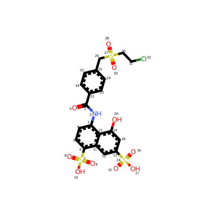 O=C(Nc1ccc(S(=O)(=O)O)c2cc(S(=O)(=O)O)cc(O)c12)c1ccc(CS(=O)(=O)CCCl)cc1